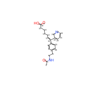 CC(=O)NCCc1ccc(/C(=C/CCCCC(=O)O)c2cccnc2)cc1